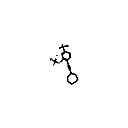 CC(C)(C)c1ccc(C#CC2CCCCCC2)c(SC(F)(F)F)c1